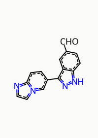 O=Cc1ccc2[nH]nc(-c3ccc4nccn4c3)c2c1